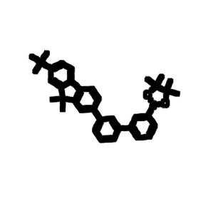 CC(C)(C)c1ccc2c(c1)C(C)(C)c1cc(-c3cccc(-c4cccc(B5OC(C)(C)C(C)(C)O5)c4)c3)ccc1-2